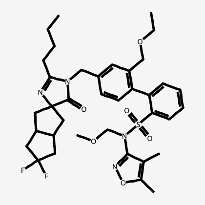 CCCCC1=NC2(CC3CC(F)(F)CC3C2)C(=O)N1Cc1ccc(-c2ccccc2S(=O)(=O)N(COC)c2noc(C)c2C)c(COCC)c1